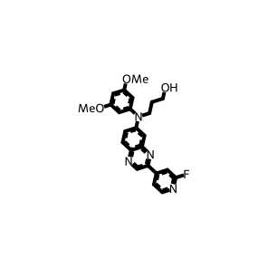 COc1cc(OC)cc(N(CCCO)c2ccc3ncc(-c4ccnc(F)c4)nc3c2)c1